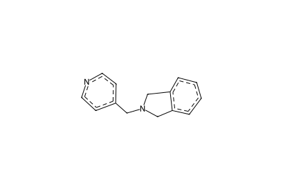 c1ccc2c(c1)CN(Cc1ccncc1)C2